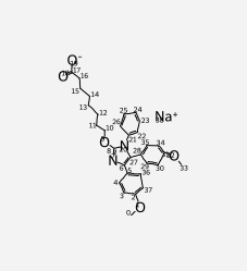 COc1ccc(-c2nc(OCCCCCCCC(=O)[O-])n(-c3ccccc3)c2-c2ccc(OC)cc2)cc1.[Na+]